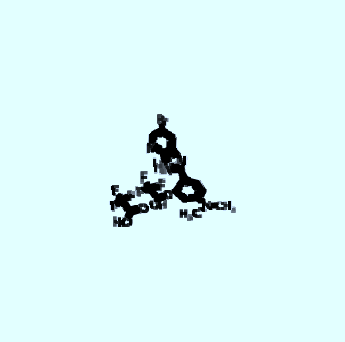 CN(C)c1ccc(-c2nc3cc(Br)cnc3[nH]2)cc1.O=C(O)C(F)(F)F.O=C(O)C(F)(F)F